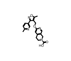 Cc1ccc(-c2noc(C)c2COc2cc3c(cn2)CN(C(=O)O)CC3)cn1